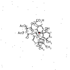 CC(=O)O[C@@H](C(=O)OC1=CC[C@@]2(O)[C@@H](C)N(C)CC[C@@]23c2c(C)ccc(O)c2O[C@@H]13)[C@@H](OC(C)=O)C(=O)O[C@@H](C(=O)O)c1ccccc1